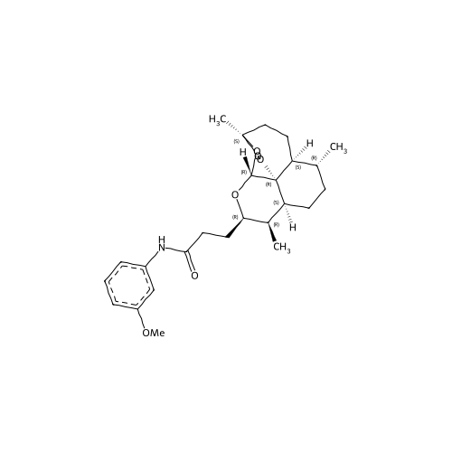 COc1cccc(NC(=O)CC[C@H]2O[C@@H]3O[C@]4(C)CC[C@H]5[C@H](C)CC[C@@H]([C@H]2C)[C@@]35OO4)c1